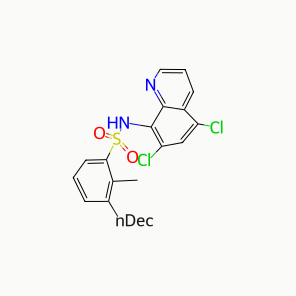 CCCCCCCCCCc1cccc(S(=O)(=O)Nc2c(Cl)cc(Cl)c3cccnc23)c1C